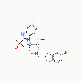 CO[C@@H]1CN(CC2Cc3ccc(Br)cc3C2)CC[C@H]1n1c(C(C)(C)O)nc2cc(F)ccc21